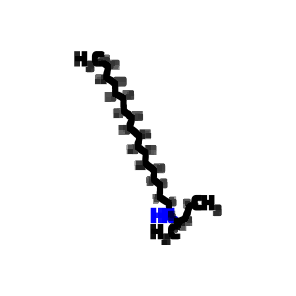 C=C(CCC)NCCCCCCCCCCCCCCCCCC